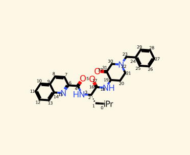 CC(C)C[C@H](NC(=O)c1ccc2ccccc2n1)C(=O)NC1CCN(Cc2ccccc2)CC1=O